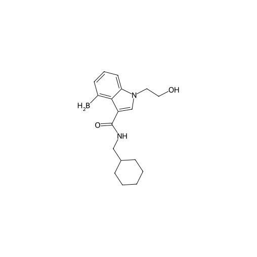 Bc1cccc2c1c(C(=O)NCC1CCCCC1)cn2CCO